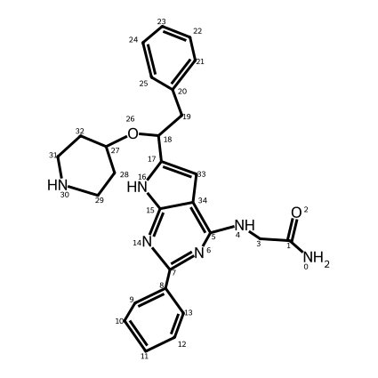 NC(=O)CNc1nc(-c2ccccc2)nc2[nH]c(C(Cc3ccccc3)OC3CCNCC3)cc12